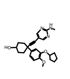 CNc1ncc(C#CC2(c3ccc(OC)c(OC4CCCC4)c3)CCC(O)CC2)cn1